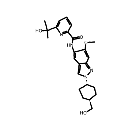 COc1cc2nn([C@H]3CC[C@H](CO)CC3)cc2cc1NC(=O)c1cccc(C(C)(C)O)n1